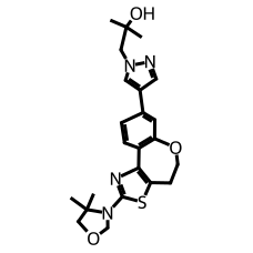 CC(C)(O)Cn1cc(-c2ccc3c(c2)OCCc2sc(N4COCC4(C)C)nc2-3)cn1